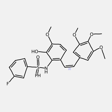 COc1ccc(/C=C\c2cc(OC)c(OC)c(OC)c2)c(NS(=O)(=P)c2cccc(F)c2)c1O